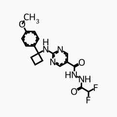 COc1ccc(C2(Nc3ncc(C(=O)NNC(=O)C(F)F)cn3)CCC2)cc1